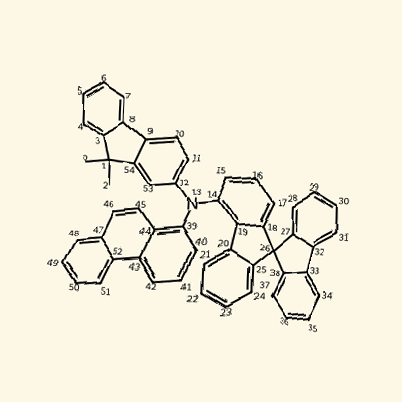 CC1(C)c2ccccc2-c2ccc(N(c3cccc4c3-c3ccccc3C43c4ccccc4-c4ccccc43)c3cccc4c3ccc3ccccc34)cc21